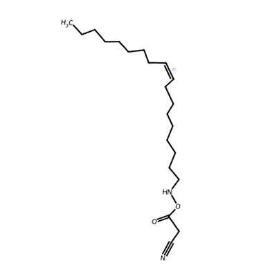 CCCCCCCC/C=C\CCCCCCCCNOC(=O)CC#N